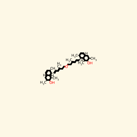 C/C(=C\C=C\[C@@H]1[C@@H]2[C@H](C)[C@@H](O)[C@H](C)C[C@@H]2C=C[C@H]1C)CCOCC/C(C)=C/C=C/[C@@H]1[C@@H]2[C@H](C)[C@@H](O)[C@H](C)C[C@@H]2C=C[C@H]1C